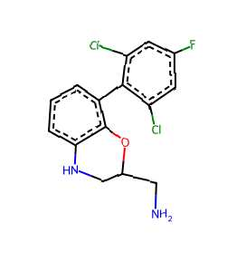 NCC1CNc2cccc(-c3c(Cl)cc(F)cc3Cl)c2O1